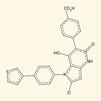 O=C(O)c1ccc(-c2c(O)c3c(cc(Cl)n3-c3ccc(-c4ccsc4)cc3)[nH]c2=O)cc1